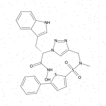 CN(Cc1cn([C@@H](Cc2c[nH]c3ccccc23)C(=O)NO)nn1)S(=O)(=O)c1ccc(-c2ccccc2)s1